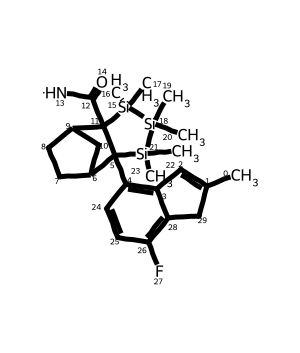 CC1=Cc2c(C34C5CCC(C5)C3(C([NH])=O)[Si](C)(C)[Si](C)(C)[Si]4(C)C)ccc(F)c2C1